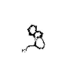 OCC1CCCc2cc3ccccc3n21